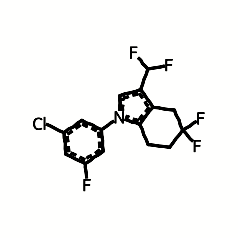 Fc1cc(Cl)cc(-n2cc(C(F)F)c3c2CCC(F)(F)C3)c1